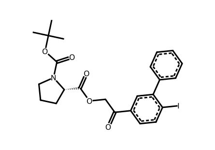 CC(C)(C)OC(=O)N1CCC[C@H]1C(=O)OCC(=O)c1ccc(I)c(-c2ccccc2)c1